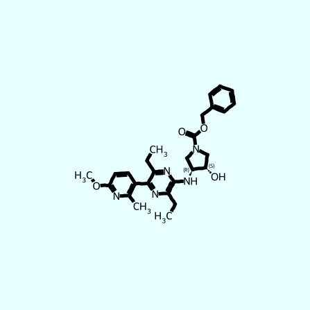 CCc1nc(-c2ccc(OC)nc2C)c(CC)nc1N[C@@H]1CN(C(=O)OCc2ccccc2)C[C@@H]1O